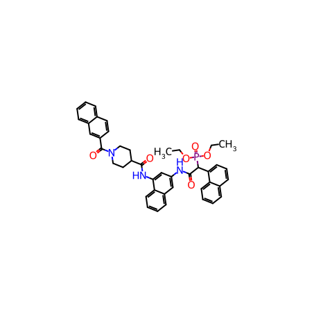 CCOP(=O)(OCC)C(C(=O)Nc1cc(NC(=O)C2CCN(C(=O)c3ccc4ccccc4c3)CC2)c2ccccc2c1)c1cccc2ccccc12